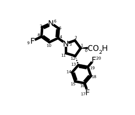 O=C(O)[C@@H]1CN(c2cncc(F)c2)C[C@H]1c1ccc(F)cc1F